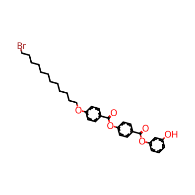 O=C(Oc1ccc(C(=O)Oc2cccc(O)c2)cc1)c1ccc(OCCCCCCCCCCCCBr)cc1